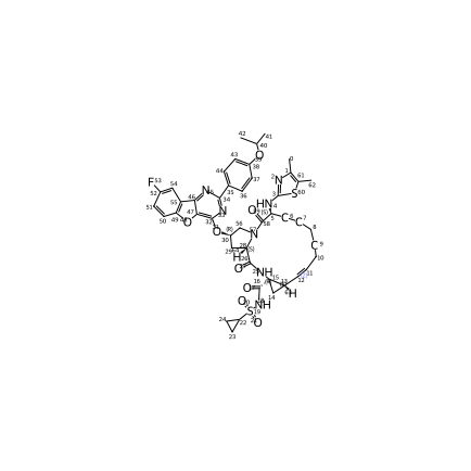 Cc1nc(N[C@H]2CCCCC/C=C\[C@@H]3C[C@@]3(C(=O)NS(=O)(=O)C3CC3)NC(=O)[C@@H]3C[C@@H](Oc4nc(-c5ccc(OC(C)C)cc5)nc5c4oc4ccc(F)cc45)CN3C2=O)sc1C